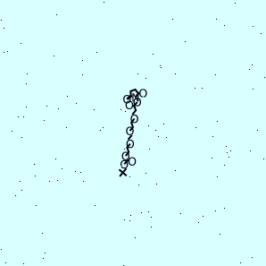 CC(C)(C)COC(=O)OCCOCCOCCOCCC(=O)ON1C(=O)CCC1=O